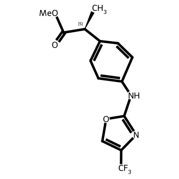 COC(=O)[C@@H](C)c1ccc(Nc2nc(C(F)(F)F)co2)cc1